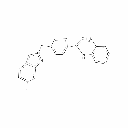 Nc1ccccc1NC(=O)c1ccc(Cn2cc3ccc(F)cc3n2)cc1